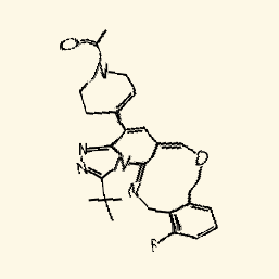 CC(=O)N1CC=C(c2cc3c(n4c(C(C)(C)C)nnc24)=NCc2c(F)cccc2COC=3)CC1